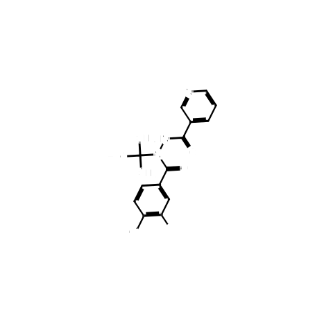 CC(C)(C)N(NC(=O)c1cccnc1)C(=O)c1ccc(Cl)c(Cl)c1